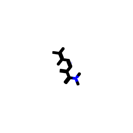 C=C(/C=C\C(C)=C(C)C)C(=C)N(C)C